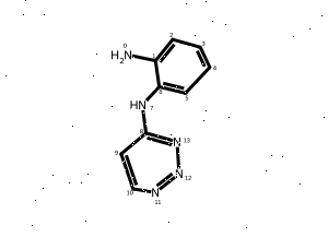 Nc1ccccc1Nc1ccnnn1